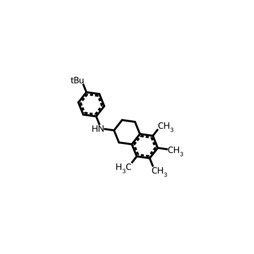 Cc1c(C)c(C)c2c(c1C)CCC(Nc1ccc(C(C)(C)C)cc1)C2